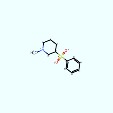 CN1CCCC(S(=O)(=O)c2ccccc2)C1